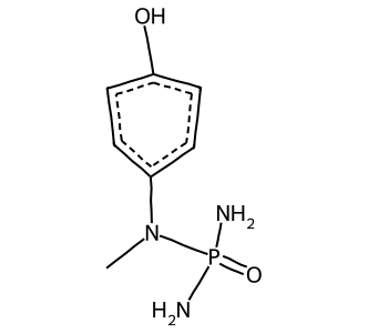 CN(c1ccc(O)cc1)P(N)(N)=O